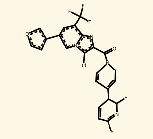 O=C(c1nc2c(C(F)(F)F)cc(-c3ccoc3)cn2c1Cl)N1C=CC(C2C=CC(F)=NC2F)=CC1